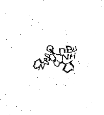 CCCCC(NC(=O)c1ccccc1C)C(=O)OSSc1ccccn1